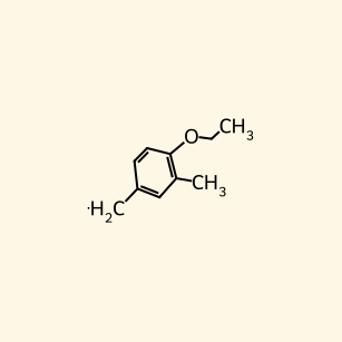 [CH2]c1ccc(OCC)c(C)c1